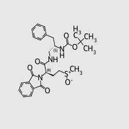 C[S+]([O-])CC[C@H](C(=O)NC[C@H](Cc1ccccc1)NC(=O)OC(C)(C)C)N1C(=O)c2ccccc2C1=O